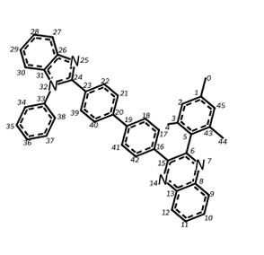 Cc1cc(C)c(-c2nc3ccccc3nc2-c2ccc(-c3ccc(-c4nc5ccccc5n4-c4ccccc4)cc3)cc2)c(C)c1